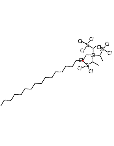 CCCCCCCCCCCCCCCCCC[Si](C(C)[Si](Cl)(Cl)Cl)(C(C)[Si](Cl)(Cl)Cl)C(C)[Si](Cl)(Cl)Cl